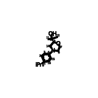 CC(C)c1ccc(N2CCO[C@@H](C(C)(C)O)C2)cc1